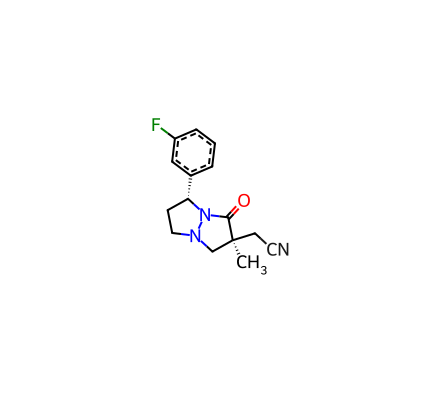 C[C@]1(CC#N)CN2CC[C@H](c3cccc(F)c3)N2C1=O